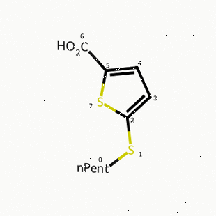 CCCCCSc1ccc(C(=O)O)s1